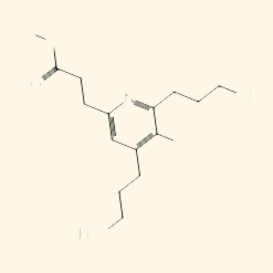 CCCCc1cc(CCC(=O)OC)nc(CCCC)c1O